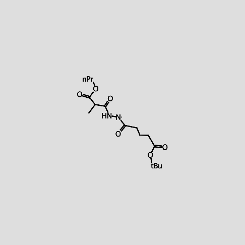 CCCOC(=O)C(C)C(=O)N[N]C(=O)CCCC(=O)OC(C)(C)C